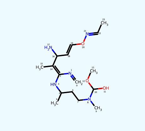 C=N/C(NC(C)CCN(C)C(O)OC)=C(/C)C(N)/C=C/O/N=C/C